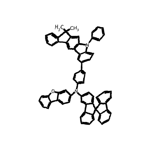 CC1(C)c2ccccc2-c2cc3c4cc(-c5ccc(N(c6ccc7c(c6)-c6ccccc6C76c7ccccc7-c7ccccc76)c6ccc7c(c6)oc6ccccc67)cc5)ccc4n(-c4ccccc4)c3cc21